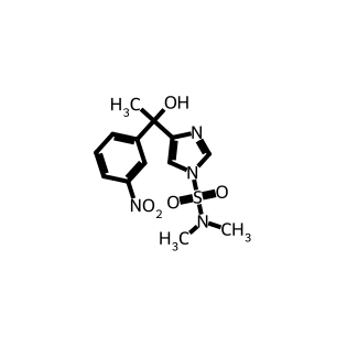 CN(C)S(=O)(=O)n1cnc(C(C)(O)c2cccc([N+](=O)[O-])c2)c1